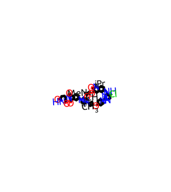 CNC(=O)COc1cc2cc(Nc3nc(N4CCC(O[C@H]5C[C@H](N6[C@H](C)CN(c7ccc8c(c7)C(=O)N(C7CCC(=O)NC7=O)C8=O)C[C@@H]6C)C5)CC4)ncc3Cl)ccc2n(C(C)C)c1=O